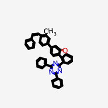 Cc1cc(-c2ccc3c(c2)oc2cccc(-c4nc(-c5ccccc5)nc(-c5ccccc5)n4)c23)ccc1/C=C\c1ccccc1